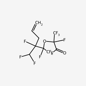 C=CCC(F)(C(F)F)C(F)(OC(F)(C(=O)F)C(F)(F)F)C(F)(F)F